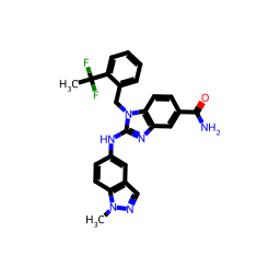 Cn1ncc2cc(Nc3nc4cc(C(N)=O)ccc4n3Cc3ccccc3C(C)(F)F)ccc21